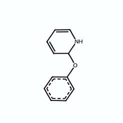 C1=CN[C](Oc2ccccc2)C=C1